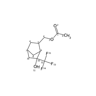 CC(=O)OCC1CC2CC1C(O)(C(F)(F)F)C2